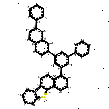 c1ccc(-c2cc(-c3ccc4ccc(-c5ccccc5)cc4c3)cc(-c3cccc4c3ccc3c5ccccc5sc43)c2)cc1